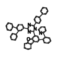 c1ccc(-c2ccc(-c3nc(-c4ccc(-c5ccccc5)c(-c5ccccc5)c4)nc(-c4cc(-c5ccccc5-c5ccccn5)cc5c4oc4ccccc45)n3)cc2)cc1